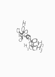 CC(C)(C)OC(=O)N1CC[C@@H](n2c(C=O)nc(Cl)c2C(=O)O)C1